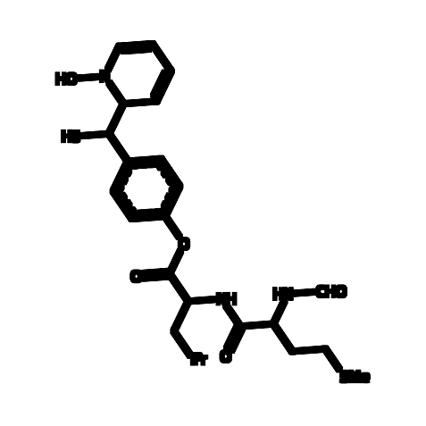 CSCCC(NC=O)C(=O)NC(CC(C)C)C(=O)Oc1ccc(C(S)C2C=CC=CN2O)cc1